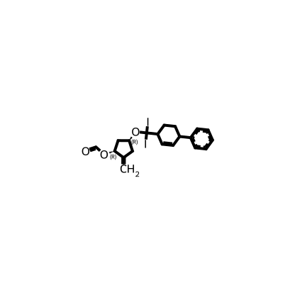 C=C1C[C@@H](OC(I)(I)C2C=CC(c3ccccc3)CC2)C[C@H]1OC=O